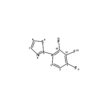 Fc1ccc(-c2nccs2)c(F)c1F